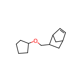 C1=CC2CC1CC2COC1CCCC1